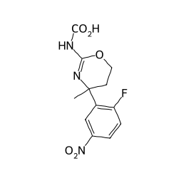 CC1(c2cc([N+](=O)[O-])ccc2F)CCOC(NC(=O)O)=N1